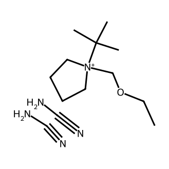 CCOC[N+]1(C(C)(C)C)CCCC1.N#CN.N#CN